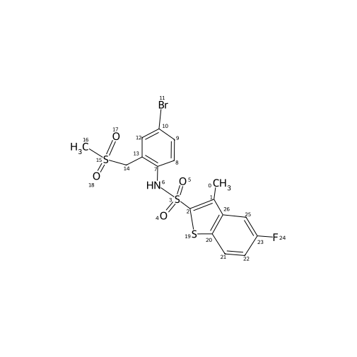 Cc1c(S(=O)(=O)Nc2ccc(Br)cc2CS(C)(=O)=O)sc2ccc(F)cc12